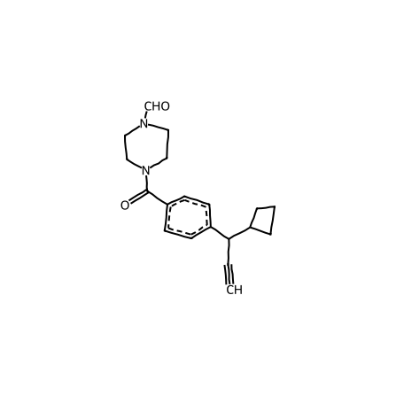 C#CC(c1ccc(C(=O)N2CCN(C=O)CC2)cc1)C1CCC1